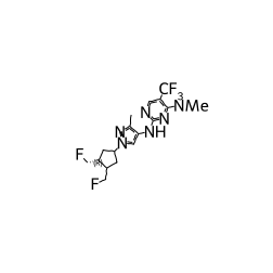 CNc1nc(Nc2cn(C3CC(CF)[C@H](CF)C3)nc2C)ncc1C(F)(F)F